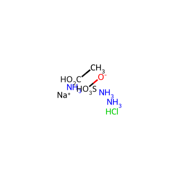 CC(=O)O.Cl.N.N.N.O=S(=O)([O-])O.[Na+]